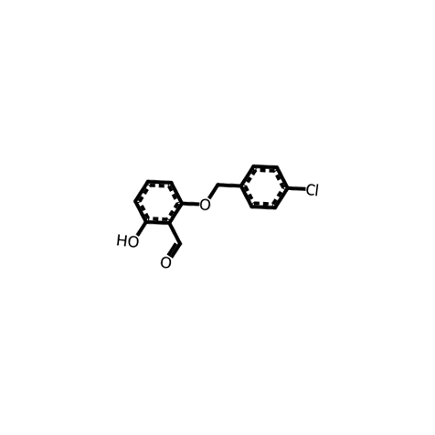 O=Cc1c(O)cccc1OCc1ccc(Cl)cc1